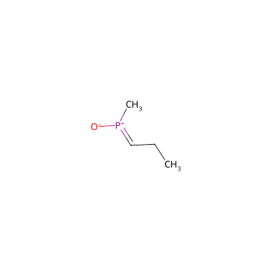 CC/C=[P+](\C)[O-]